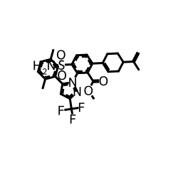 C=C(C)C1CC=C(c2ccc(S(N)(=O)=O)c(-n3nc(C(F)(F)F)cc3-c3cc(C)ccc3C)c2C(=O)OC)CC1